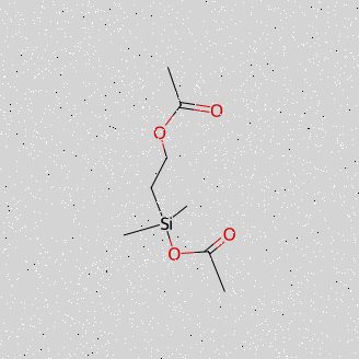 CC(=O)OCC[Si](C)(C)OC(C)=O